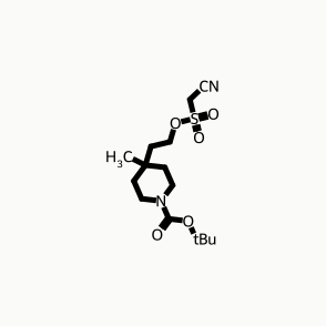 CC1(CCOS(=O)(=O)CC#N)CCN(C(=O)OC(C)(C)C)CC1